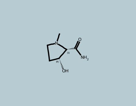 CN1CC[C@@H](O)[C@H]1C(N)=O